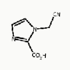 N#CCn1ccnc1C(=O)O